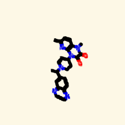 Cc1ccc2c(n1)n(C1CCN(C(C)c3ccc4nccnc4c3)CC1)c(=O)c(=O)n2C